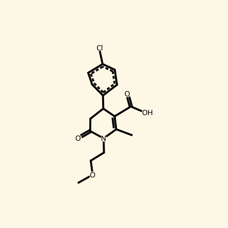 COCCN1C(=O)CC(c2ccc(Cl)cc2)C(C(=O)O)=C1C